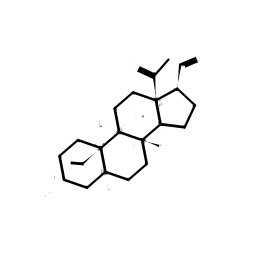 CC[C@]12CC[C@@H](C)C[C@@H]1CC[C@@H]1[C@@H]2CC[C@]2(C(C)=O)[C@@H](C=O)CC[C@@H]12